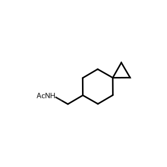 CC(=O)NCC1CCC2(CC1)CC2